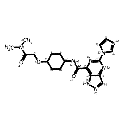 CN(C)C(=O)COC1CCC(NC(=O)c2nc(-n3ccnc3)nc3cn[nH]c23)CC1